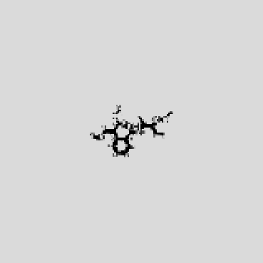 CCC(=N\OC)/C(C)=N/C(O)c1ccccc1/C(=C\OC)C(=O)OC